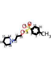 Cc1ccc(S(=O)(=O)SOCCCN2CCCCC2)cc1